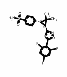 CC1(C)[C@@H](c2ccc(S(N)(=O)=O)cc2)[C@@H]1c1noc(-c2c(F)cc(F)cc2F)n1